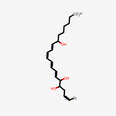 CC/C=C\CC(O)C(O)/C=C/C=C/C=C\C=C\C(O)CCCCCC(=O)O